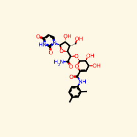 Cc1ccc(NC(=O)C2=C[C@H](O)[C@H](O)[C@@H](O[C@@H](C(N)=O)[C@H]3O[C@@H](n4ccc(=O)[nH]c4=O)[C@H](O)[C@@H]3CO)O2)c(C)c1